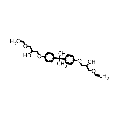 C=COCC(O)COc1ccc(C(C)(C)c2ccc(OCC(O)COC=C)cc2)cc1